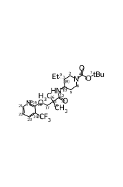 CC[C@@H]1CN(C(=O)OC(C)(C)C)CC[C@H]1NC(=O)C(C)(C)COc1ncccc1C(F)(F)F